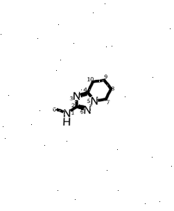 CNc1nc2n(n1)CCCC2